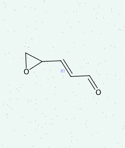 O=C/C=C/C1CO1